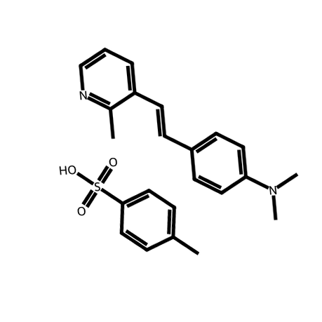 Cc1ccc(S(=O)(=O)O)cc1.Cc1ncccc1C=Cc1ccc(N(C)C)cc1